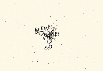 CCOP(=O)(OCC)SCCN(CC)CC.CCOc1ccc(NC(=S)Nc2ccc(OCC)cc2)cc1.[Zr]